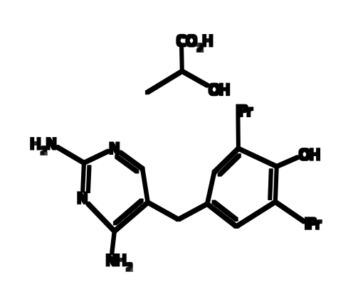 CC(C)c1cc(Cc2cnc(N)nc2N)cc(C(C)C)c1O.CC(O)C(=O)O